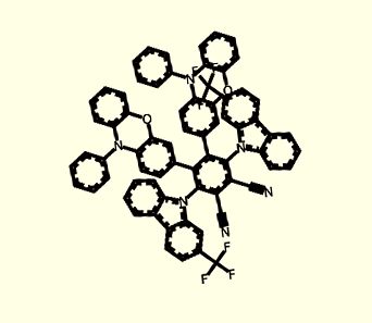 N#Cc1c(C#N)c(-n2c3ccccc3c3ccc(C(F)(F)F)cc32)c(-c2ccc3c(c2)Oc2ccccc2N3c2ccccc2)c(-c2ccc3c(c2)Oc2ccccc2N3c2ccccc2)c1-n1c2ccccc2c2ccc(C(F)(F)F)cc21